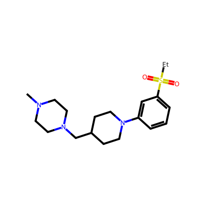 CCS(=O)(=O)c1cccc(N2CCC(CN3CCN(C)CC3)CC2)c1